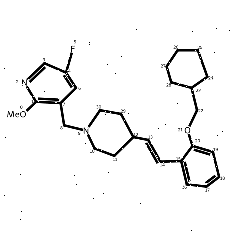 COc1ncc(F)cc1CN1CCC(C=Cc2ccccc2OCC2CCCCC2)CC1